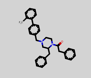 O=C(Cc1ccccc1)N1CCN(Cc2ccc(-c3ccccc3C(F)(F)F)cc2)CC1Cc1ccccc1